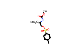 CCOC(=O)[C@H](COS(=O)(=O)c1ccc(C)cc1)NC(=O)OC(C)(C)C